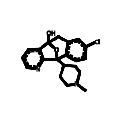 CN1CCC(C23OC(O)(Cc4cc(Cl)ccc42)c2cccnc23)CC1